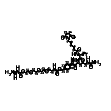 CC(C)[C@H](NC(=O)CCCCCN1C(=O)C=CC1=O)C(=O)N[C@@H](CCCNC(N)=O)C(=O)Nc1ccc(COC(=O)NCCOCCOCCOCCOC(=O)NNN)cc1